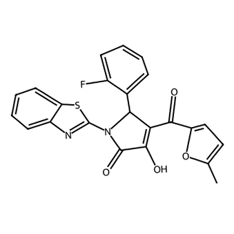 Cc1ccc(C(=O)C2=C(O)C(=O)N(c3nc4ccccc4s3)C2c2ccccc2F)o1